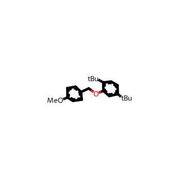 COc1ccc(COc2cc(C(C)(C)C)ccc2C(C)(C)C)cc1